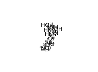 Cc1cc(Nc2snc(O)c2C(=N)NC(C)CO)ccc1C(=O)N1CCc2c(N(C)C)cccc21